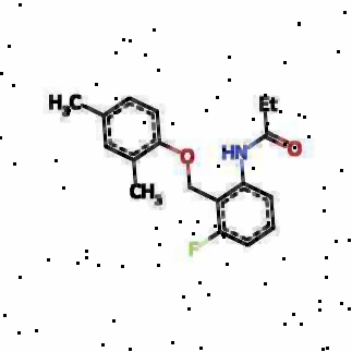 CCC(=O)Nc1cccc(F)c1COc1ccc(C)cc1C